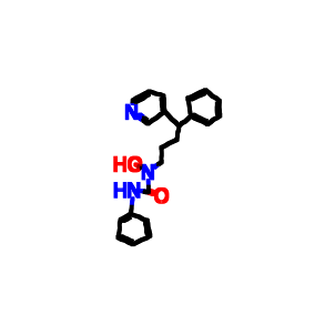 O=C(Nc1ccccc1)N(O)CCCC(c1ccccc1)c1cccnc1